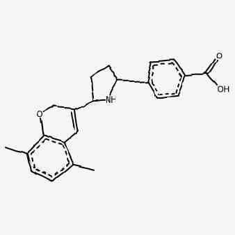 Cc1ccc(C)c2c1C=C(C1CCC(c3ccc(C(=O)O)cc3)N1)CO2